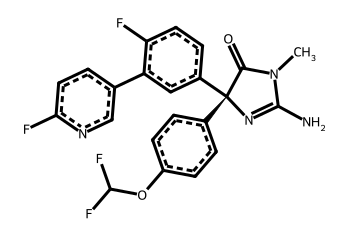 CN1C(=O)[C@@](c2ccc(OC(F)F)cc2)(c2ccc(F)c(-c3ccc(F)nc3)c2)N=C1N